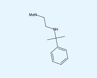 CNCCNC(C)(C)c1ccccc1